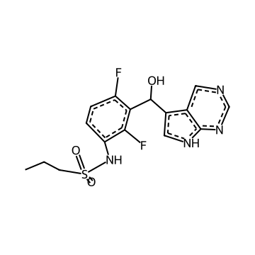 CCCS(=O)(=O)Nc1ccc(F)c(C(O)c2c[nH]c3ncncc23)c1F